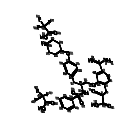 N=C(N)c1ccc(CC(=O)C(=O)O)c(OC[C@H](Cc2ccc(OC3CCNCC3)cc2)NS(=O)(=O)c2ccccc2)c1.O=C(O)C(F)(F)F.O=C(O)C(F)(F)F